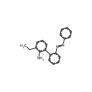 CCc1cccc(-c2ccccc2N=Nc2ccccc2)c1N